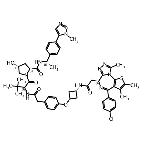 Cc1sc2c(c1C)C(c1ccc(Cl)cc1)=N[C@@H](CC(=O)N[C@H]1C[C@H](Oc3ccc(CC(=O)N[C@H](C(=O)N4C[C@H](O)C[C@H]4C(=O)N[C@@H](C)c4ccc(-c5cnnn5C)cc4)C(C)(C)C)cc3)C1)c1nnc(C)n1-2